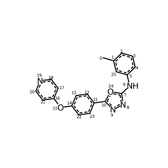 Cc1cccc(Nc2nnc(-c3ccc(Oc4ccncc4)cc3)o2)c1